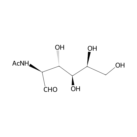 CC(=O)N[C@H](C=O)[C@H](O)[C@H](O)[C@@H](O)CO